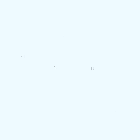 CC(OC1=CC(Cl)=CN(Cc2ccccc2)C1)C1CCN(c2ccc(Cl)cc2)CC1